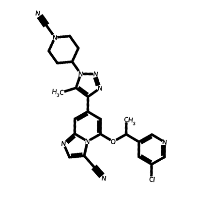 Cc1c(-c2cc(OC(C)c3cncc(Cl)c3)n3c(C#N)cnc3c2)nnn1C1CCN(C#N)CC1